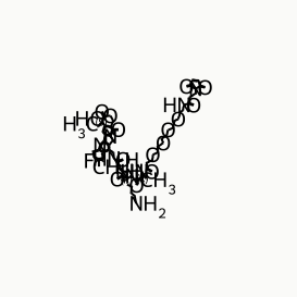 CC[C@@]1(O)C(=O)OCc2c1cc1n(c2=O)Cc2c-1nc1cc(F)c(C)cc1c2CNC(=O)CNC(=O)[C@@H](CCCCN)NC(=O)[C@@H](C)NC(=O)CCOCCOCCOCCOCCNC(=O)CCN1C(=O)C=CC1=O